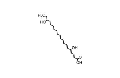 CCC(O)CCCCCCC=CC=CC=CC(O)=CC=CC(=O)O